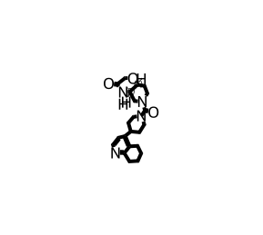 O=C1CO[C@H]2CCN(C(=O)N3CCC(c4ccnc5c4CCCC5)CC3)C[C@H]2N1